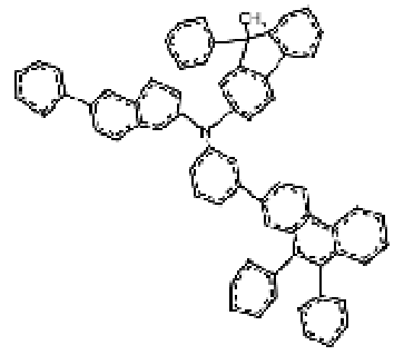 CC1(c2ccccc2)c2ccccc2-c2ccc(N(c3cccc(-c4ccc5c(c4)c(-c4ccccc4)c(-c4ccccc4)c4ccccc45)c3)c3ccc4cc(-c5ccccc5)ccc4c3)cc21